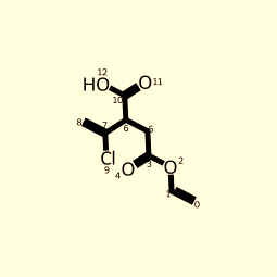 C=COC(=O)CC(C(=C)Cl)C(=O)O